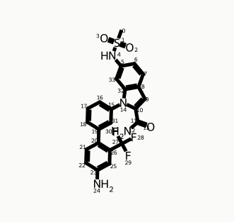 CS(=O)(=O)Nc1ccc2cc(C(N)=O)n(-c3cccc(-c4ccc(N)cc4C(F)(F)F)c3)c2c1